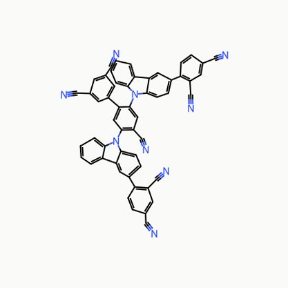 N#Cc1cc(C#N)cc(-c2cc(-n3c4ccccc4c4cc(-c5ccc(C#N)cc5C#N)ccc43)c(C#N)cc2-n2c3ccccc3c3cc(-c4ccc(C#N)cc4C#N)ccc32)c1